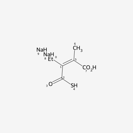 CC/C(C(=O)S)=C(\C)C(=O)O.[NaH].[NaH]